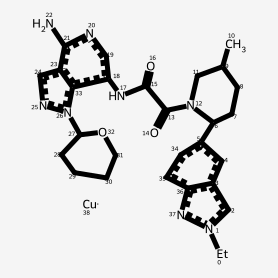 CCn1cc2cc(C3CCC(C)CN3C(=O)C(=O)Nc3cnc(N)c4cnn(C5CCCCO5)c34)ccc2n1.[Cu]